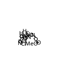 COC(=O)C1CCC(CN2CCc3c(nc(C(=O)Nc4cccc(-c5ccnc(Cl)c5Cl)c4Cl)n3C)C2)CC1